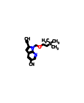 C#Cc1cc2cc(C#N)cnc2n1COCC[Si](C)(C)C